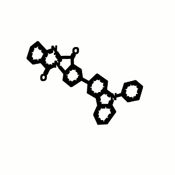 O=C1c2cc(-c3ccc4c(c3)c3ccccc3n4-c3ccccc3)ccc2-n2c1nc1ccccc1c2=O